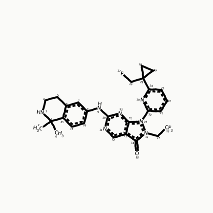 CC1(C)NCCc2cc(Nc3ncc4c(=O)n(CC(F)(F)F)n(-c5cccc(C6(CF)CC6)n5)c4n3)ccc21